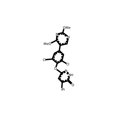 COc1ncc(-c2cc(Cl)c(Oc3cc(C(C)C)c(=O)[nH]n3)c(Cl)c2)c(OC)n1